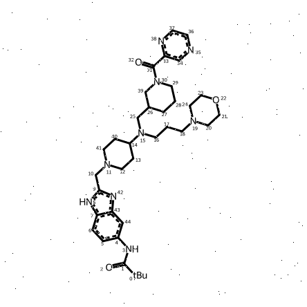 CC(C)(C)C(=O)Nc1ccc2[nH]c(CN3CCC(N(CCCN4CCOCC4)CC4CCCN(C(=O)c5cnccn5)C4)CC3)nc2c1